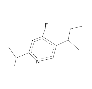 CCC(C)c1cnc(C(C)C)cc1F